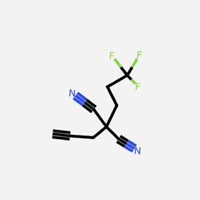 C#CCC(C#N)(C#N)CCC(F)(F)F